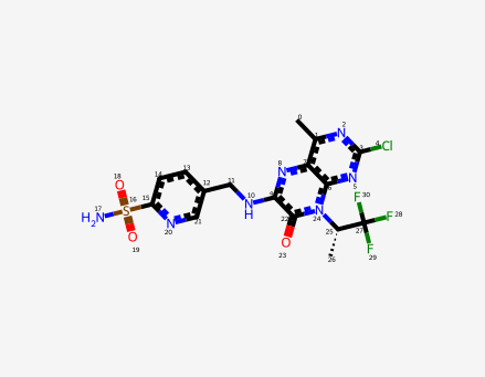 Cc1nc(Cl)nc2c1nc(NCc1ccc(S(N)(=O)=O)nc1)c(=O)n2[C@@H](C)C(F)(F)F